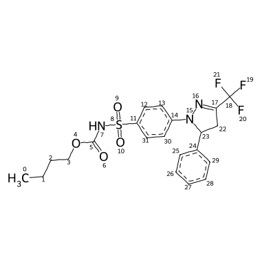 CCCCOC(=O)NS(=O)(=O)c1ccc(N2N=C(C(F)(F)F)CC2c2ccccc2)cc1